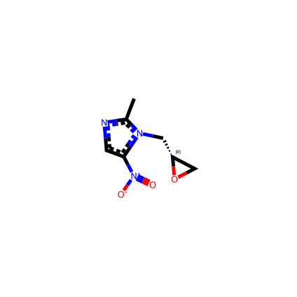 Cc1ncc([N+](=O)[O-])n1C[C@@H]1CO1